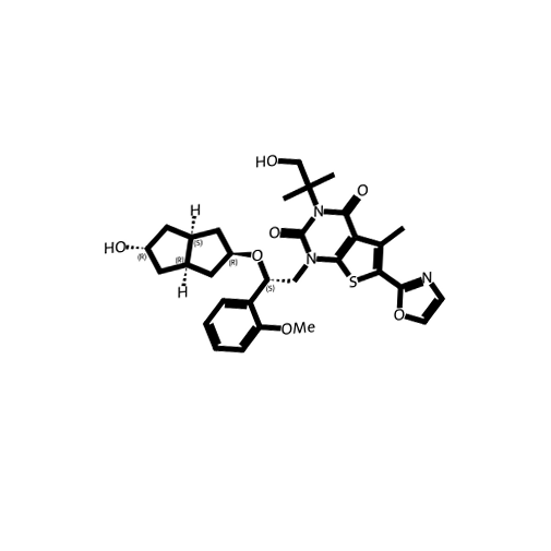 COc1ccccc1[C@@H](Cn1c(=O)n(C(C)(C)CO)c(=O)c2c(C)c(-c3ncco3)sc21)O[C@H]1C[C@H]2C[C@H](O)C[C@H]2C1